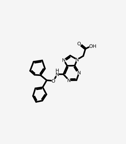 O=C(O)Cn1cnc2c(NOC(c3ccccc3)c3ccccc3)ncnc21